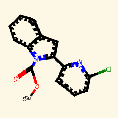 CC(C)(C)OC(=O)n1c(-c2cccc(Cl)n2)cc2ccccc21